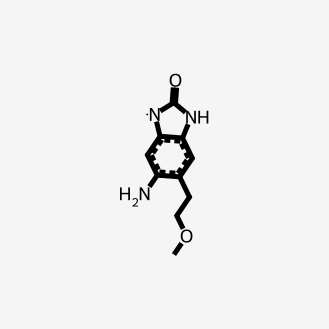 COCCc1cc2c(cc1N)[N]C(=O)N2